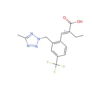 CC/C(=C\c1ccc(C(F)(F)F)cc1Cn1nnc(C)n1)C(=O)O